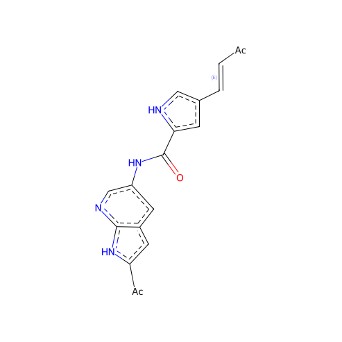 CC(=O)/C=C/c1c[nH]c(C(=O)Nc2cnc3[nH]c(C(C)=O)cc3c2)c1